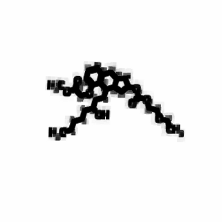 CCCCCC(O)CCC1c2c(cccc2OCC(=O)OC)CC2CC(OC(=O)OCCOCC)CC21